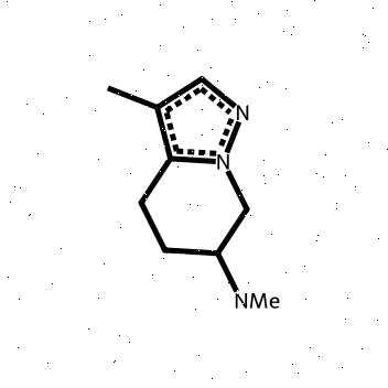 CNC1CCc2c(C)cnn2C1